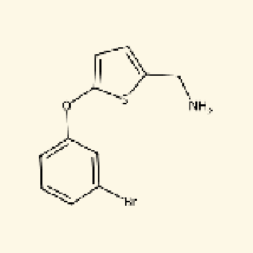 NCc1ccc(Oc2cccc(Br)c2)s1